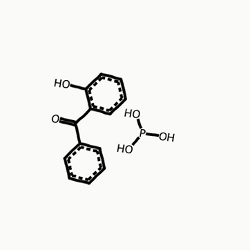 O=C(c1ccccc1)c1ccccc1O.OP(O)O